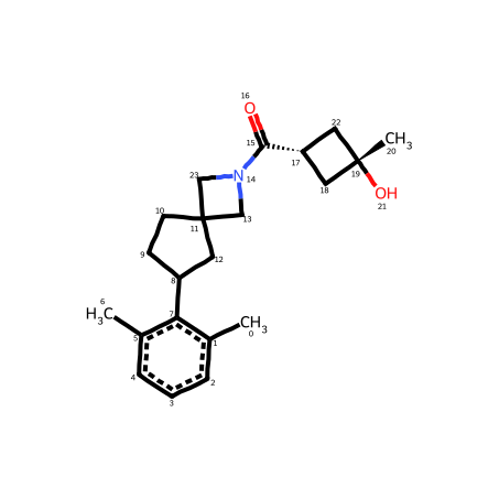 Cc1cccc(C)c1C1CCC2(C1)CN(C(=O)[C@H]1C[C@@](C)(O)C1)C2